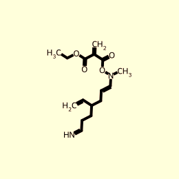 C=CC(C/C=C/N(C)OC(=O)C(=C)C(=O)OCC)CCC=N